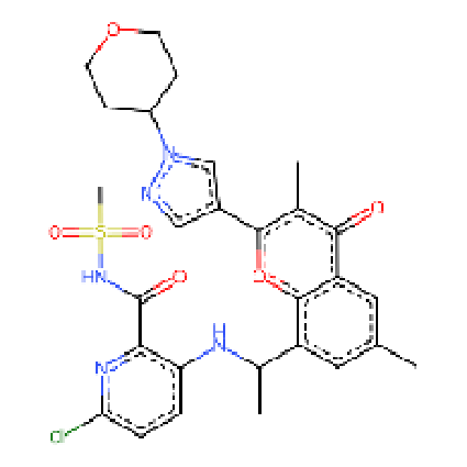 Cc1cc(C(C)Nc2ccc(Cl)nc2C(=O)NS(C)(=O)=O)c2oc(-c3cnn(C4CCOCC4)c3)c(C)c(=O)c2c1